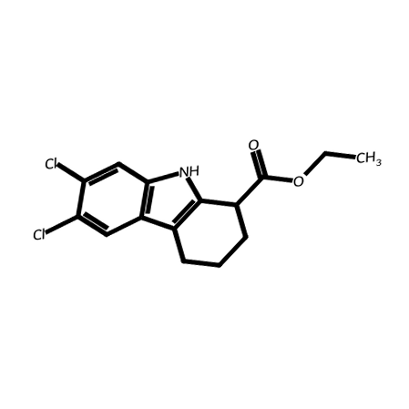 CCOC(=O)C1CCCc2c1[nH]c1cc(Cl)c(Cl)cc21